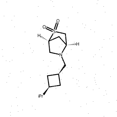 CC(C)[C@H]1C[C@@H](CN2C[C@@H]3C[C@H]2CS3(=O)=O)C1